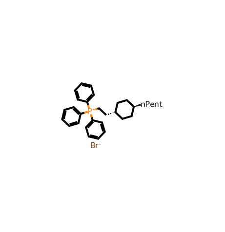 CCCCC[C@H]1CC[C@H](CC[P+](c2ccccc2)(c2ccccc2)c2ccccc2)CC1.[Br-]